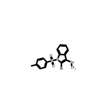 Cc1ccc(S(=O)(=O)n2c(Br)c([Se]C(F)(F)F)c3ccccc32)cc1